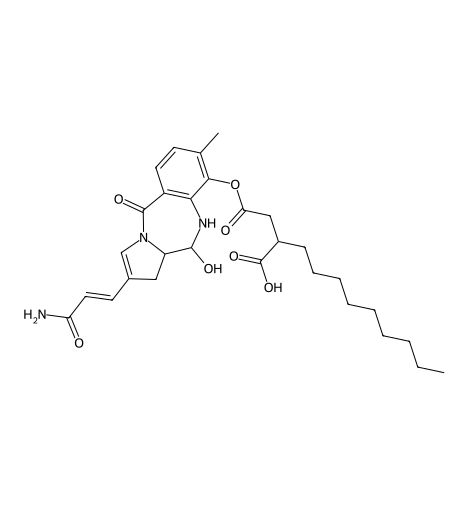 CCCCCCCCCC(CC(=O)Oc1c(C)ccc2c1NC(O)C1CC(C=CC(N)=O)=CN1C2=O)C(=O)O